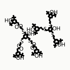 CC(C)(C)c1cc(CC(=O)OCCSCc2cc(CSCCOC(=O)Cc3cc(C(C)(C)C)c(O)c(C(C)(C)C)c3)c(O)c(CSCCOC(=O)Cc3cc(C(C)(C)C)c(O)c(C(C)(C)C)c3)c2)cc(C(C)(C)C)c1O.CC(C)(C)c1cc(CCSCc2cc(CSCCc3cc(C(C)(C)C)c(O)c(C(C)(C)C)c3)c(O)c(CSCCc3cc(C(C)(C)C)c(O)c(C(C)(C)C)c3)c2)cc(C(C)(C)C)c1O